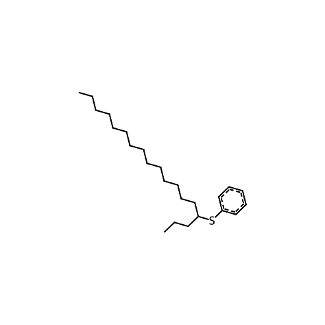 CCCCCCCCCCCCCCC(CCC)Sc1ccccc1